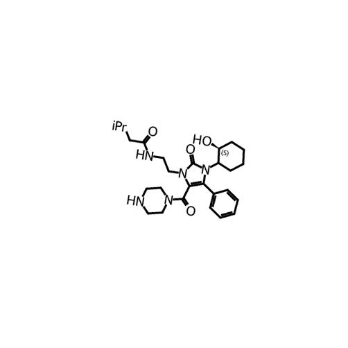 CC(C)CC(=O)NCCn1c(C(=O)N2CCNCC2)c(-c2ccccc2)n(C2CCCC[C@@H]2O)c1=O